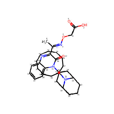 C/C(=N\OCC(=O)O)c1nc2ccccc2n(C2CC3CCCC(C2)N3C2CCCCCCCCC2)c1=O